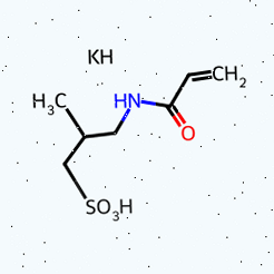 C=CC(=O)NCC(C)CS(=O)(=O)O.[KH]